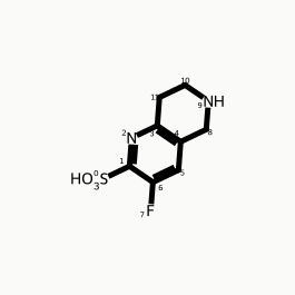 O=S(=O)(O)c1nc2c(cc1F)CNCC2